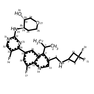 CC(C)c1c(CNC2CC(F)(F)C2)cnc2c(F)cc(-c3nc(N[C@@H]4CCOC[C@H]4O)ncc3F)cc12